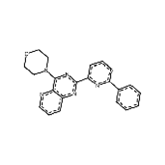 c1ccc(-c2nccc(-c3nc(N4CCOCC4)c4ncccc4n3)n2)cc1